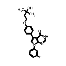 CC(C)(O)CCOc1ccc(-c2cn(-c3cccc(F)c3)c3nc[nH]c(=O)c23)cc1